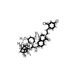 C[C@@H]1C[C@H](C)CN(/C(=N\[C@H]2C[C@@H]3C[C@H]([C@@H]2C)C3(C)C)Nc2ccc3c(=O)n(CCc4ccc(Cl)cc4Cl)cnc3c2)C1